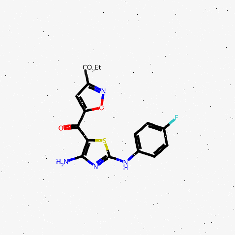 CCOC(=O)c1cc(C(=O)c2sc(Nc3ccc(F)cc3)nc2N)on1